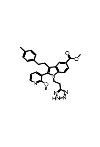 COC(=O)c1ccc2c(c1)c(CCc1ccc(C)cc1)c(-c1cccnc1OC)n2CCc1nn[nH]n1